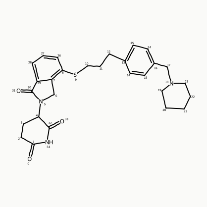 O=C1CCC(N2Cc3c(SCCCc4ccc(CN5CCCCC5)cc4)cccc3C2=O)C(=O)N1